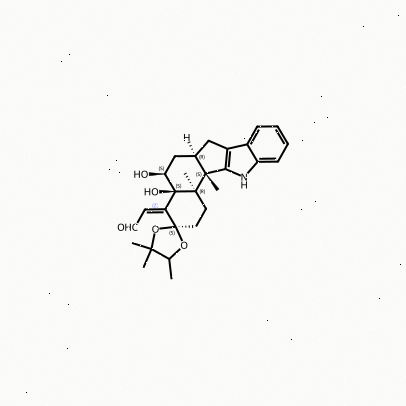 CC1O[C@@]2(CC[C@]3(C)[C@@]4(C)c5[nH]c6ccccc6c5C[C@@H]4C[C@H](O)[C@@]3(O)/C2=C/C=O)OC1(C)C